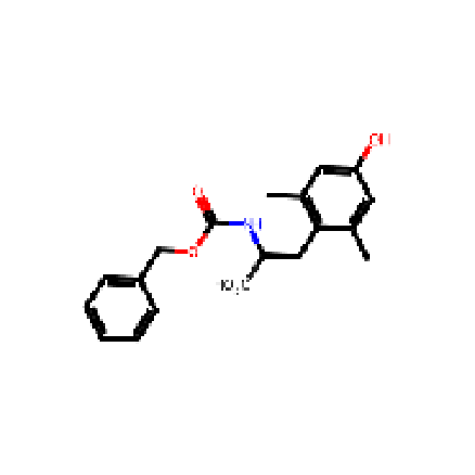 Cc1cc(O)cc(C)c1CC(NC(=O)OCc1ccccc1)C(=O)O